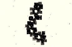 O=C(Cn1ncc2ncc(N3CCC4(CC4)C(F)(F)C3)nc21)Nc1ccn2ncnc2c1